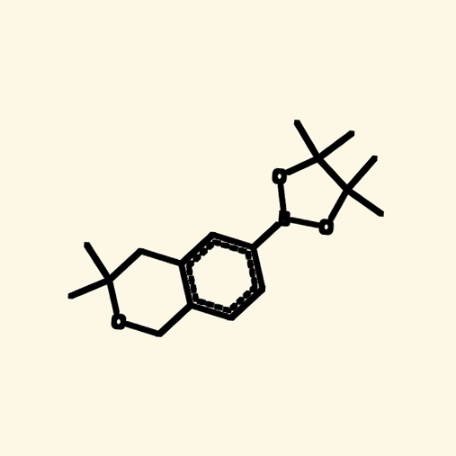 CC1(C)Cc2cc(B3OC(C)(C)C(C)(C)O3)ccc2CO1